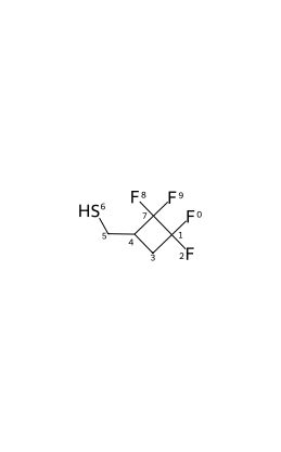 FC1(F)CC(CS)C1(F)F